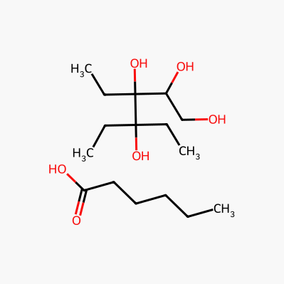 CCC(O)(CC)C(O)(CC)C(O)CO.CCCCCC(=O)O